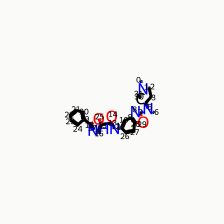 CN1CCC(N(C)c2nc3cc(NC(=O)c4cnc(-c5ccccc5)o4)ccc3o2)CC1